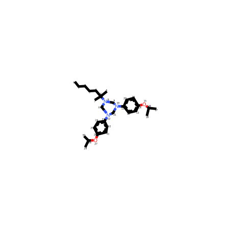 CCCCCC(C)(C)N1CN(c2ccc(OC(C)C)cc2)CN(c2ccc(OC(C)C)cc2)C1